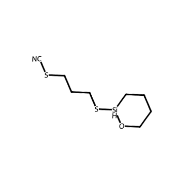 N#CSCCCS[SiH]1CCCCO1